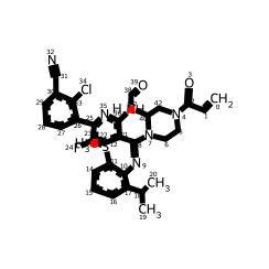 C=CC(=O)N1CCN(/C(=N/c2c(SC)cccc2C(C)C)c2cc(F)c(-c3cccc(C#N)c3Cl)nc2NC=O)C(C)C1